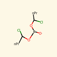 CCCC(Cl)OB([O])OC(Cl)CCC